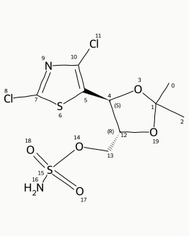 CC1(C)O[C@H](c2sc(Cl)nc2Cl)[C@@H](COS(N)(=O)=O)O1